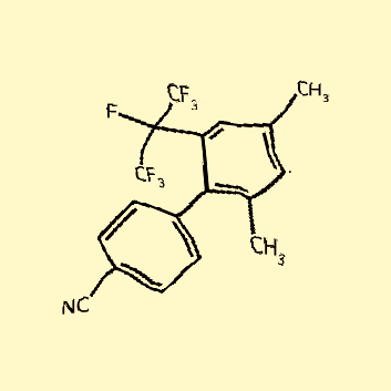 Cc1[c]c(C)c(-c2ccc(C#N)cc2)c(C(F)(C(F)(F)F)C(F)(F)F)c1